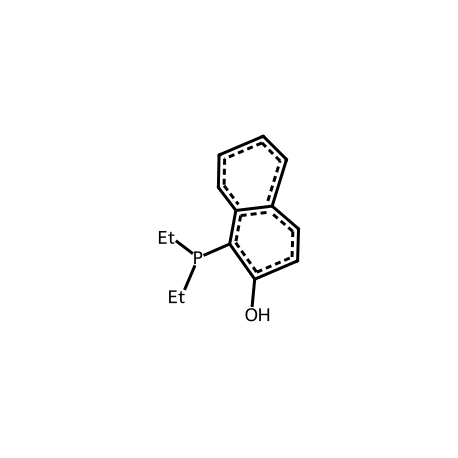 CCP(CC)c1c(O)ccc2ccccc12